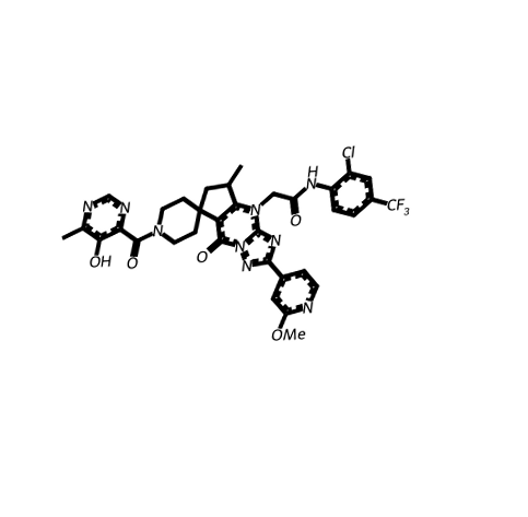 COc1cc(-c2nc3n(CC(=O)Nc4ccc(C(F)(F)F)cc4Cl)c4c(c(=O)n3n2)C2(CCN(C(=O)c3ncnc(C)c3O)CC2)CC4C)ccn1